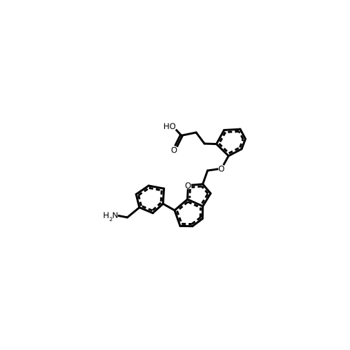 NCc1cccc(-c2cccc3cc(COc4ccccc4CCC(=O)O)oc23)c1